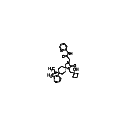 CN(C)[C@]1(c2ccccc2)CC[C@]2(CC1)CN(CC(=O)Nc1ccccn1)C(=O)N2CC1(O)CCC1